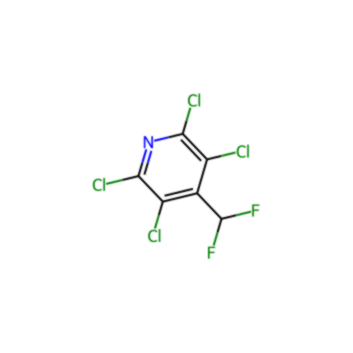 FC(F)c1c(Cl)c(Cl)nc(Cl)c1Cl